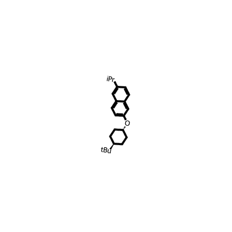 CC(C)c1ccc2cc(O[C@H]3CC[C@H](C(C)(C)C)CC3)ccc2c1